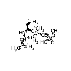 C=CC(=O)NCCCC.CN(C)C.CN(C)C.COS(=O)(=O)O